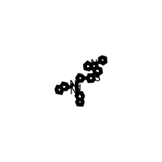 c1ccc(-c2nc3ccccc3c3c2ccc2sc4ccc(-c5cccc(-c6nc(-c7ccc8ccccc8c7)nc(-c7ccc8ccccc8c7)n6)c5)cc4c23)cc1